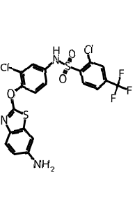 Nc1ccc2nc(Oc3ccc(NS(=O)(=O)c4ccc(C(F)(F)F)cc4Cl)cc3Cl)sc2c1